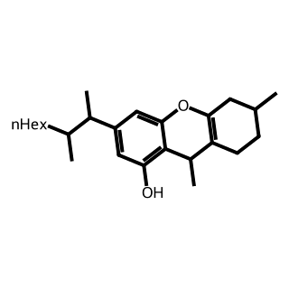 CCCCCCC(C)C(C)c1cc(O)c2c(c1)OC1=C(CCC(C)C1)C2C